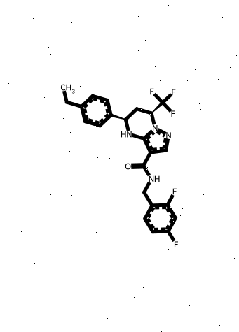 CCc1ccc([C@H]2C[C@@H](C(F)(F)F)n3ncc(C(=O)NCc4ccc(F)cc4F)c3N2)cc1